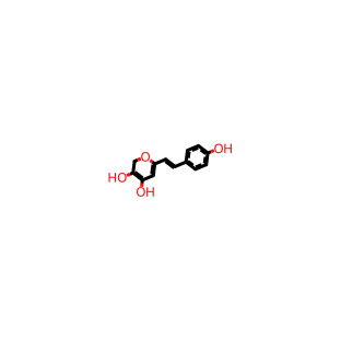 OC1=C(O)COC(C=Cc2ccc(O)cc2)=C1